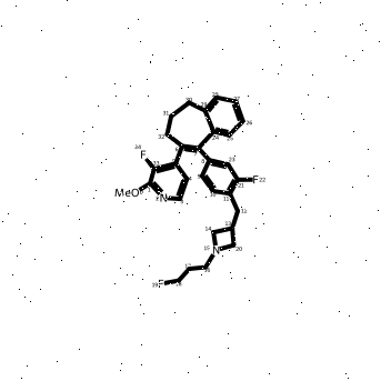 COc1nccc(C2=C(c3ccc(CC4CN(CCCF)C4)c(F)c3)c3ccccc3CCC2)c1F